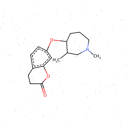 CC1CN(C)CCCC1Oc1ccc2c(c1)OC(=O)CC2